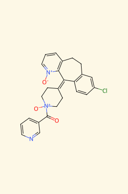 O=C(c1cccnc1)[N+]1([O-])CCC(=C2c3ccc(Cl)cc3CCc3ccc[n+]([O-])c32)CC1